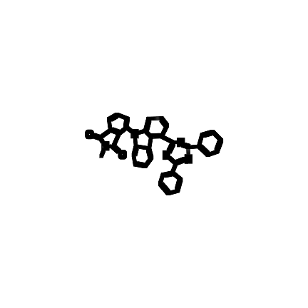 CN1C(=O)c2cccc(-n3c4ccccc4c4c(-c5nc(-c6ccccc6)nc(-c6ccccc6)n5)cccc43)c2C1=O